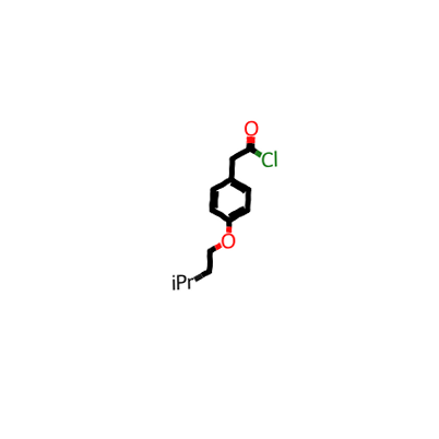 CC(C)CCOc1ccc(CC(=O)Cl)cc1